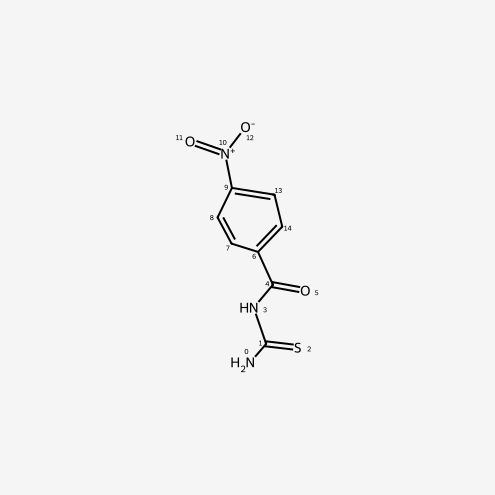 NC(=S)NC(=O)c1ccc([N+](=O)[O-])cc1